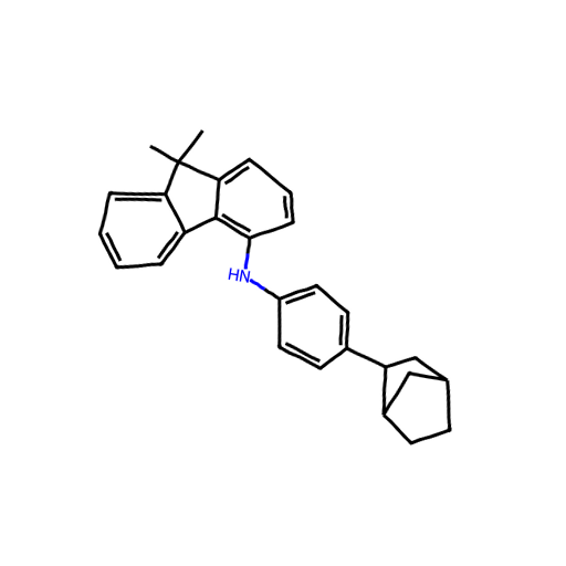 CC1(C)c2ccccc2-c2c(Nc3ccc(C4CC5CCC4C5)cc3)cccc21